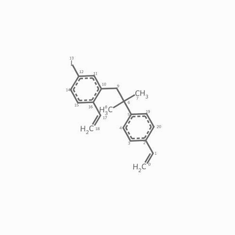 C=Cc1ccc(C(C)(C)Cc2cc(I)ccc2C=C)cc1